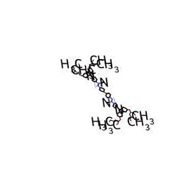 CCCCC(CC)Cc1ccc2c(c1)c1cc(CC(CC)CCCC)ccc1n2-c1ccc(/C(C#N)=C/c2ccc(-c3ccc(/C=C(\C#N)c4ccc(-n5c6ccc(CC(CC)CCCC)cc6c6cc(CC(CC)CCCC)ccc65)cc4)cc3)cc2)cc1